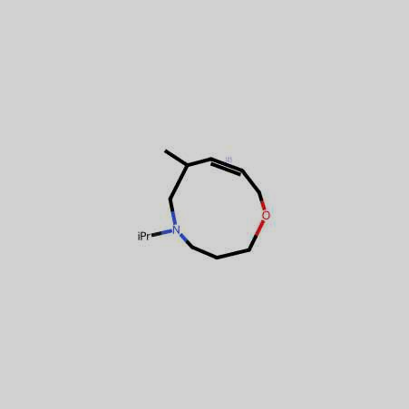 CC1/C=C\COCCCN(C(C)C)C1